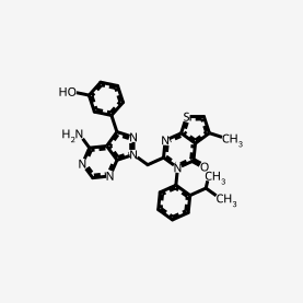 Cc1csc2nc(Cn3nc(-c4cccc(O)c4)c4c(N)ncnc43)n(-c3ccccc3C(C)C)c(=O)c12